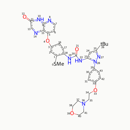 CSc1cc(Oc2ccnc3[nH]c(=O)cnc23)ccc1NC(=O)Nc1cc(C(C)(C)C)nn1-c1ccc(OCCN2CCOCC2)cc1